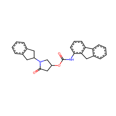 O=C(Nc1cccc2c1Cc1ccccc1-2)OC1CC(=O)N(C2Cc3ccccc3C2)C1